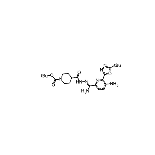 CC(C)(C)OC(=O)N1CCC(C(=O)N/N=C(\N)c2ccc(N)c(-c3nnc(C(C)(C)C)o3)n2)CC1